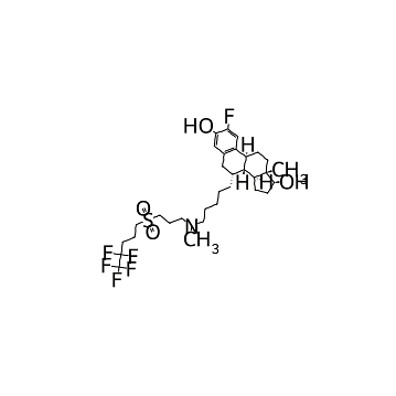 CN(CCCCC[C@@H]1Cc2cc(O)c(F)cc2[C@H]2CC[C@]3(C)[C@@H](O)CC[C@H]3[C@H]12)CCCS(=O)(=O)CCCC(F)(F)C(F)(F)F